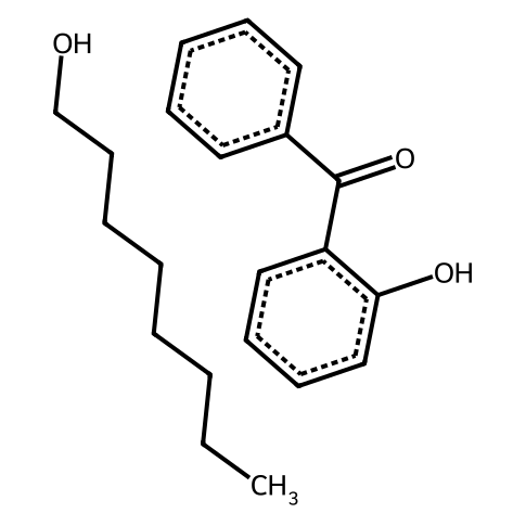 CCCCCCCCO.O=C(c1ccccc1)c1ccccc1O